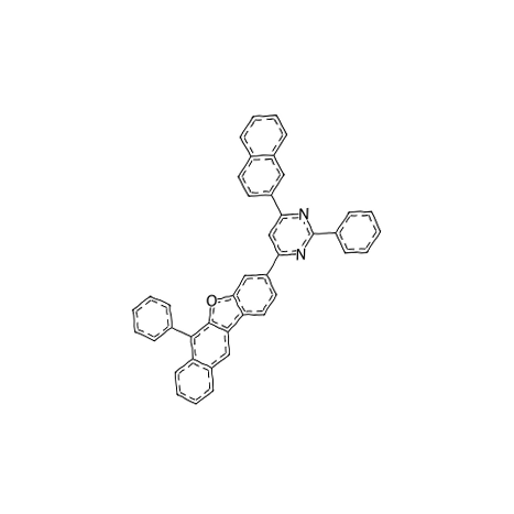 c1ccc(-c2nc(-c3ccc4ccccc4c3)cc(-c3ccc4c(c3)oc3c(-c5ccccc5)c5ccccc5cc34)n2)cc1